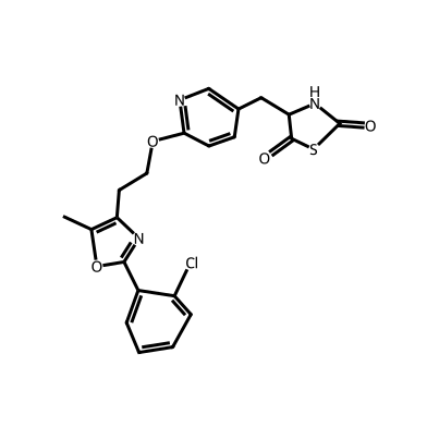 Cc1oc(-c2ccccc2Cl)nc1CCOc1ccc(CC2NC(=O)SC2=O)cn1